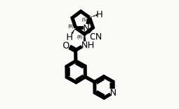 N#CN1[C@H]2CC[C@@H]1[C@H](NC(=O)c1cccc(-c3ccncc3)c1)C2